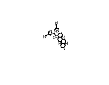 C[C@H]1CC[C@@H]2C3CC[C@@]4(C)C(CCC[C@@H]4C(=O)C(n4cc(C#N)cn4)n4cc(C#N)cn4)[C@@H]3CC[C@@H]2C1